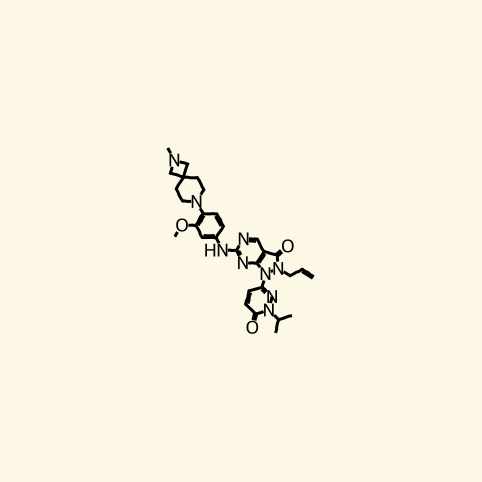 C=CCn1c(=O)c2cnc(Nc3ccc(N4CCC5(CC4)CN(C)C5)c(OC)c3)nc2n1-c1ccc(=O)n(C(C)C)n1